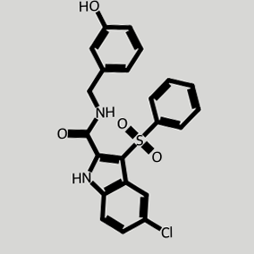 O=C(NCc1cccc(O)c1)c1[nH]c2ccc(Cl)cc2c1S(=O)(=O)c1ccccc1